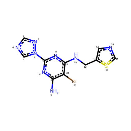 Nc1nc(-n2cncn2)nc(NCc2cncs2)c1Br